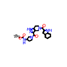 CC(C)(C)OC(=O)N[C@@H]1CCN(C(=O)c2n[nH]c3c2CN(C(=O)c2cc4ccccc4[nH]2)CC3)C1